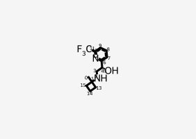 CC1(NC[C@H](O)c2cccc(C(F)(F)F)n2)CCC1